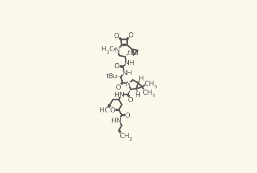 C#CCC(CC(=O)C(=O)NCC=C)NC(=O)[C@@H]1[C@@H]2[C@H](CN1C(=O)[C@@H](NC(=O)N[C@H](CN(C)c1c(C3CC3)c(=O)c1=O)C(C)(C)C)C(C)(C)C)C2(C)C